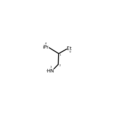 CCC(C[NH])C(C)C